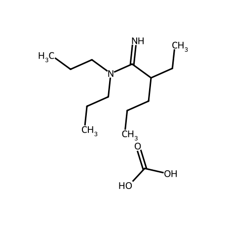 CCCC(CC)C(=N)N(CCC)CCC.O=C(O)O